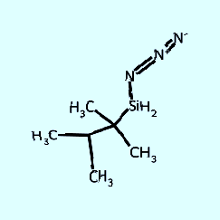 CC(C)C(C)(C)[SiH2]N=[N+]=[N-]